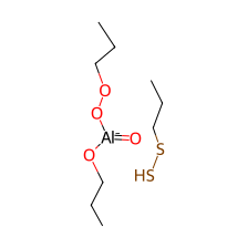 CCCO[O][Al-](=[O])[O]CCC.CCCSS